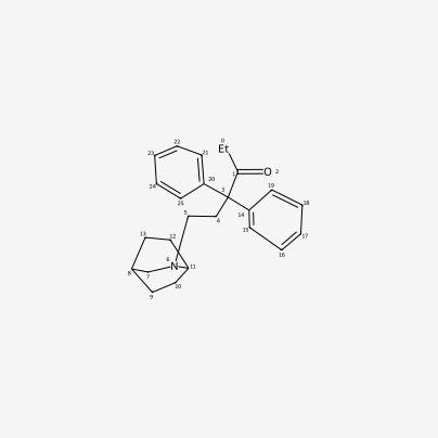 CCC(=O)C(CCN1CC2CCC1CC2)(c1ccccc1)c1ccccc1